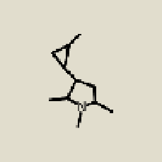 CC1CC1C1CC(C)N(C)C1C